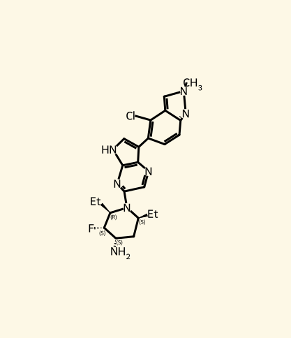 CC[C@H]1C[C@H](N)[C@H](F)[C@@H](CC)N1c1cnc2c(-c3ccc4nn(C)cc4c3Cl)c[nH]c2n1